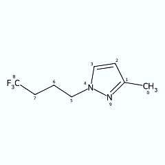 Cc1ccn(CCCC(F)(F)F)n1